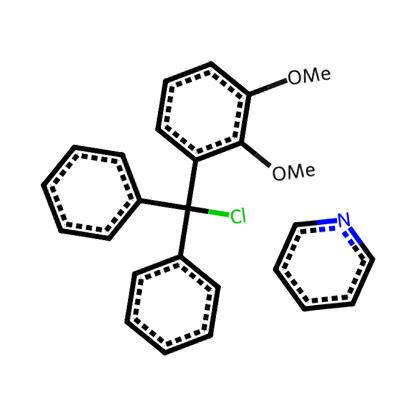 COc1cccc(C(Cl)(c2ccccc2)c2ccccc2)c1OC.c1ccncc1